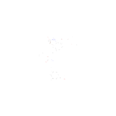 CC(C)(C)OC(=O)Oc1ccc(CCN(CCc2cccc(CO)c2)C(=O)OC(C)(C)C)c2sc(=O)[nH]c12